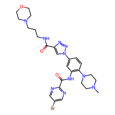 CN1CCN(c2ccc(-n3cc(C(=O)NCCCN4CCOCC4)nn3)cc2NC(=O)c2ncc(Br)cn2)CC1